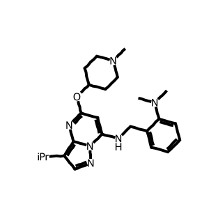 CC(C)c1cnn2c(NCc3ccccc3N(C)C)cc(OC3CCN(C)CC3)nc12